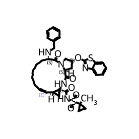 CC1(S(=O)(=O)NC(=O)[C@@]23C[C@H]2/C=C\CCCCC[C@H](NCc2ccccc2)C(=O)N2C[C@H](Oc4nc5ccccc5s4)C[C@H]2C(=O)N3)CC1